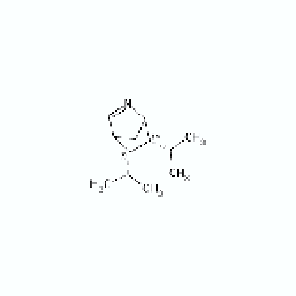 CC(C)[C@@H]1C2C=NC(C2)[C@@H]1C(C)C